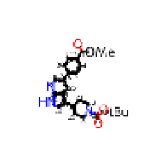 COC(=O)c1ccc(-c2cnc3[nH]cc(C4=CCN(C(=O)OC(C)(C)C)CC4)c3c2)cc1